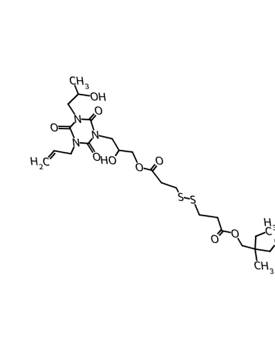 C=CCn1c(=O)n(CC(C)O)c(=O)n(CC(O)COC(=O)CCSSCCC(=O)OCC(C)(CC)CC)c1=O